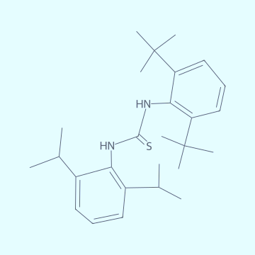 CC(C)c1cccc(C(C)C)c1NC(=S)Nc1c(C(C)(C)C)cccc1C(C)(C)C